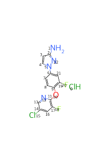 Cl.Nc1[c]cn(-c2ccc(Oc3ncc(Cl)cc3F)c(F)c2)n1